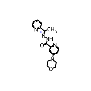 C/C(=N\NC(=O)c1cc(N2CCOCC2)ccn1)c1ccccn1